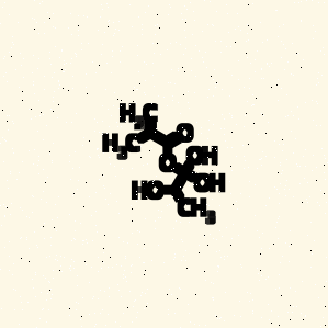 C=C(C)C(=O)OC(O)(O)C(C)O